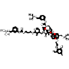 Cc1cc(Cl)c(OCCOc2ccc(C3CC4CN(C(=O)Oc5cccc(CON(O)O)c5)CC(N4C(=O)Oc4cccc(CON(O)O)c4)C3(C)C(=O)N(Cc3ccnc(OCCCOC(=O)Oc4cccc(CON(O)O)c4)c3C)C3CC3)cc2)c(Cl)c1